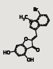 Cn1cc(C=C2Oc3cc(O)cc(O)c3C2=O)c2cccc(Br)c21